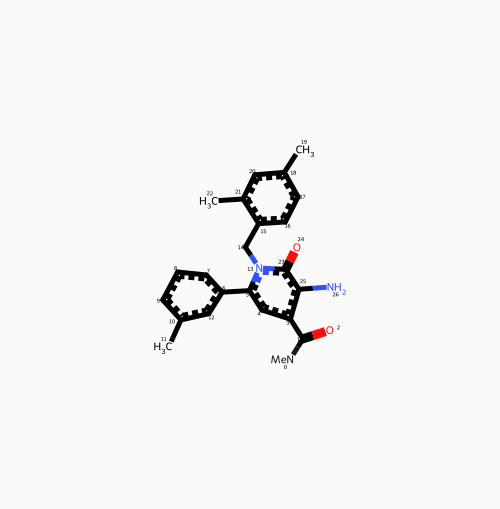 CNC(=O)c1cc(-c2cccc(C)c2)n(Cc2ccc(C)cc2C)c(=O)c1N